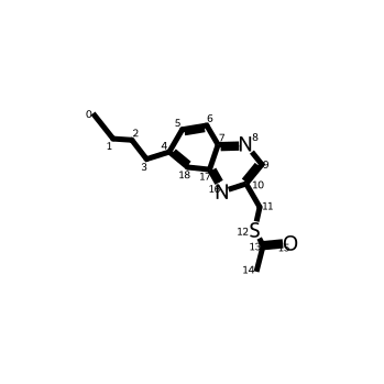 CCCCc1ccc2ncc(CSC(C)=O)nc2c1